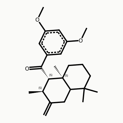 C=C1CC2C(C)(C)CCC[C@]2(C)[C@@H](C(=O)c2cc(OC)cc(OC)c2)[C@@H]1C